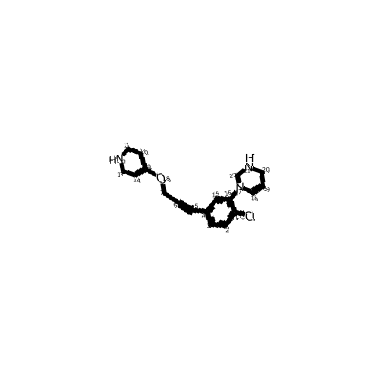 Clc1ccc(C#CCOC2CCNCC2)cc1N1C=CCNC1